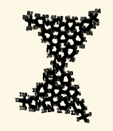 CC(C)(C)c1ccnc(-c2ccc(-c3ncccc3-c3cc(-c4ccccc4-c4ccc(-c5cc(-c6ccc(-c7ccccc7-c7cc(-c8cccnc8-c8ccc(-c9cc(C(C)(C)C)ccn9)cc8)cc(-c8cccnc8-c8ccc(-c9cc(C(C)(C)C)ccn9)cc8)c7)cc6)ncn5)cc4)cc(-c4cccnc4-c4ccc(-c5cc(C(C)(C)C)ccn5)cc4)c3)cc2)c1